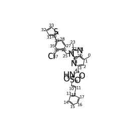 Cc1cc(C(=O)NS(=O)(=O)C=Cc2ccccc2)nc2c1nc(C)n2Cc1ccc(-c2cccs2)cc1Cl